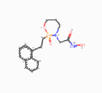 O=C(CN1CCCOP1(=O)CCc1cccc2ccccc12)NO